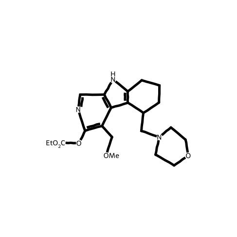 CCOC(=O)Oc1ncc2[nH]c3c(c2c1COC)C(CN1CCOCC1)CCC3